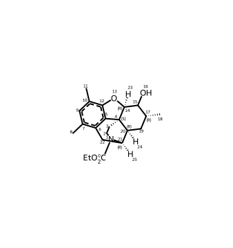 CCOC(=O)N1CC[C@]23c4c5c(C)cc(C)c4O[C@H]2C(O)[C@H](C)C[C@H]3[C@H]1C5